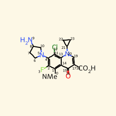 CNc1c(F)c(N2CCC(N)C2)c(Cl)c2c1c(=O)c(C(=O)O)cn2C1CC1